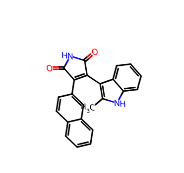 Cc1[nH]c2ccccc2c1C1=C(c2ccc3ccccc3c2)C(=O)NC1=O